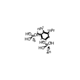 CCCc1cccc(C)c1CCC.OP(O)(O)=S.OP(O)(O)=S.[Zn]